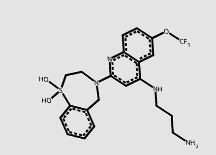 NCCCNc1cc(N2CCS(O)(O)c3ccccc3C2)nc2ccc(OC(F)(F)F)cc12